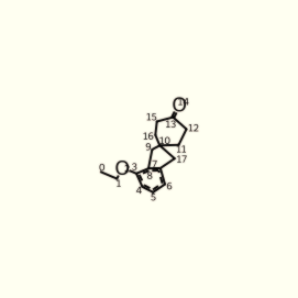 CCOc1cccc2c1CC1(CCC(=O)CC1)C2